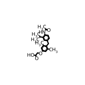 CC(=O)Nc1ccc(Cc2c(C)cc(OCC(=O)O)cc2C)cc1C(C)C